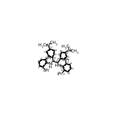 CC(C)c1cccc(C(C)C)c1N[C@@H](c1ccc(N(C)C)cc1)[C@@H](Nc1c(C(C)C)cccc1C(C)C)c1ccc(N(C)C)cc1